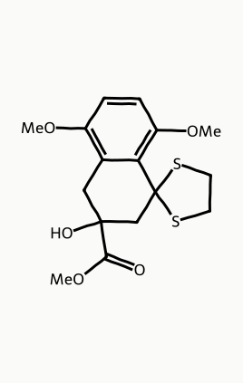 COC(=O)C1(O)Cc2c(OC)ccc(OC)c2C2(C1)SCCS2